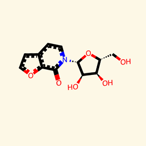 O=c1c2occc2ccn1[C@@H]1O[C@H](CO)[C@@H](O)[C@H]1O